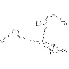 CCCCC/C=C\C/C=C\CCCCCCCCC1(CCCCCCC(C/C=C\C/C=C\CCCCC)C2CCCC2)CCC2(CC1)O[C@H]1CN(C)CC[C@H]1O2